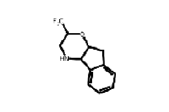 FC(F)(F)C1CNC2c3ccccc3CC2O1